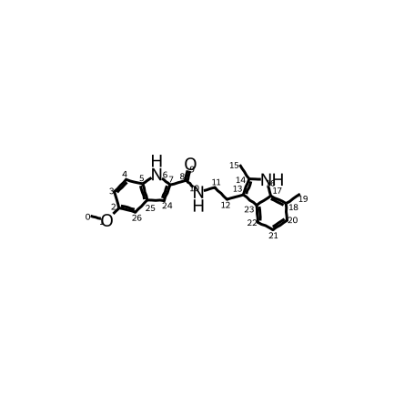 COc1ccc2[nH]c(C(=O)NCCc3c(C)[nH]c4c(C)cccc34)cc2c1